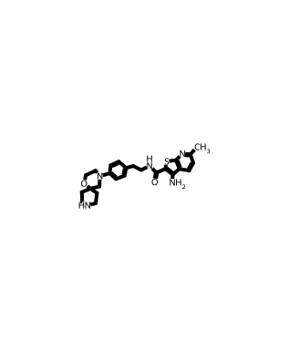 Cc1ccc2c(N)c(C(=O)NCCc3ccc(N4CCOC5(CCNCC5)C4)cc3)sc2n1